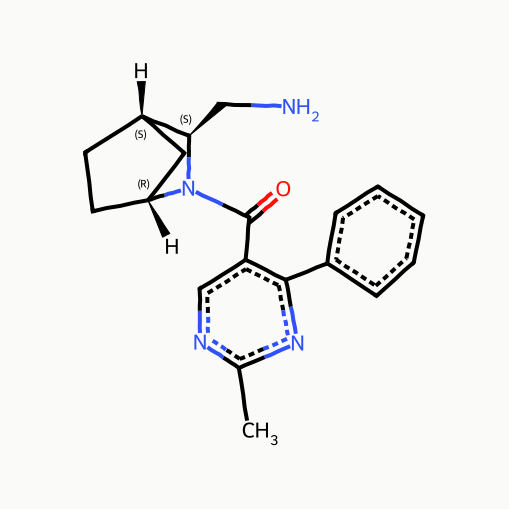 Cc1ncc(C(=O)N2[C@@H]3CC[C@@H](C3)[C@H]2CN)c(-c2ccccc2)n1